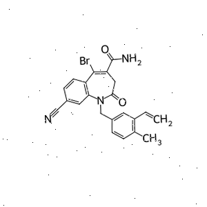 C=Cc1cc(CN2C(=O)CC(C(N)=O)=C(Br)c3ccc(C#N)cc32)ccc1C